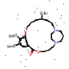 COc1cc2cc(c1OC)OCCCC(OC(C)=O)CCN1CCCN(CCCOC2=O)CC1